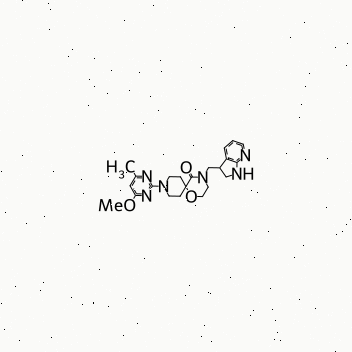 COc1cc(C)nc(N2CCC3(CC2)OCCN(CC2CNc4ncccc42)C3=O)n1